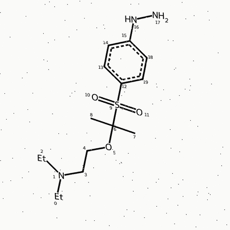 CCN(CC)CCOC(C)(C)S(=O)(=O)c1ccc(NN)cc1